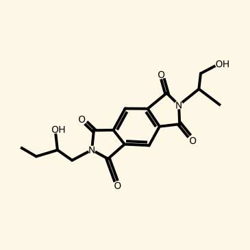 CCC(O)Cn1c(=O)c2cc3c(=O)n(C(C)CO)c(=O)c3cc2c1=O